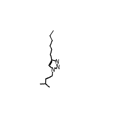 CCCCCCc1cn(CCC(C)C)nn1